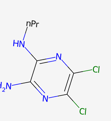 CCCNc1nc(Cl)c(Cl)nc1N